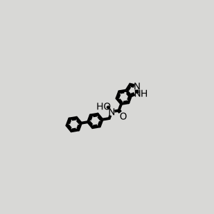 O=C(c1ccc2cn[nH]c2c1)N(O)Cc1ccc(-c2ccccc2)cc1